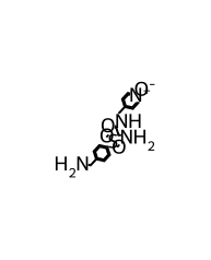 NCc1ccc(S(=O)(=O)C(N)C(=O)NCc2cc[n+]([O-])cc2)cc1